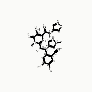 C[C@H](c1nc(C(=O)Nc2cnoc2)c(O)c(=O)n1C)[C@@H](c1cnn(C)c1)c1cc(F)c(F)cc1C#N